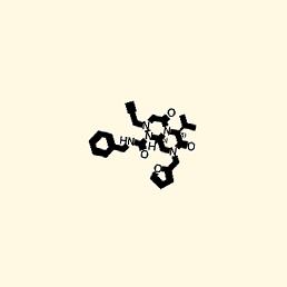 C#CCN1CC(=O)N2[C@@H](C(C)C)C(=O)N(Cc3ccco3)C[C@@H]2N1C(=O)NCc1ccccc1